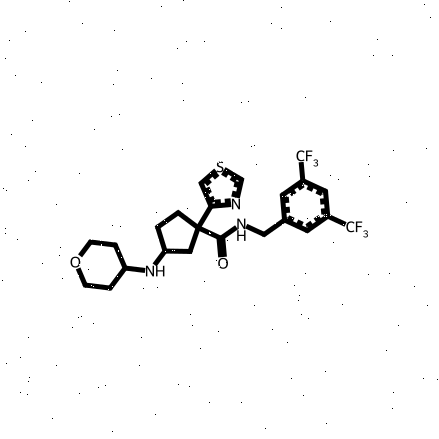 O=C(NCc1cc(C(F)(F)F)cc(C(F)(F)F)c1)C1(c2cscn2)CCC(NC2CCOCC2)C1